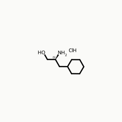 Cl.N[C@H](CO)CC1CCCCC1